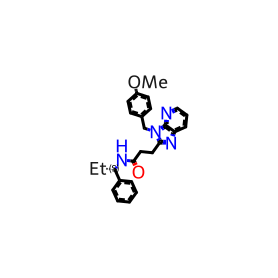 CC[C@H](NC(=O)CCc1nc2cccnc2n1Cc1ccc(OC)cc1)c1ccccc1